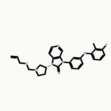 C=CCOCN1CC[C@@H](n2c(=O)n(-c3cccc(Oc4cccc(F)c4C)c3)c3cnccc32)C1